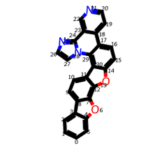 c1ccc2c(c1)oc1c2ccc2c1oc1ccc3c4ccncc4c4nccn4c3c12